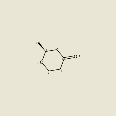 C[C@H]1CC(=O)CCO1